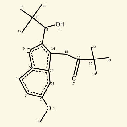 COc1ccc2oc(C(O)C(C)(C)C)c(CC(=O)C(C)(C)C)c2c1